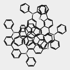 c1ccc(N(c2cccc(-c3cccc(N(c4ccccc4)c4cc5c(c6c4ccc4oc7ccccc7c46)-c4ccc6cc(N(c7ccccc7)c7ccccc7)ccc6c4C54c5ccccc5-c5ccccc54)c3)c2)c2ccc3c4c(ccc3c2)-c2c(cc(N(c3ccccc3)c3ccccc3)c3ccc5c6ccccc6oc5c23)C42c3ccccc3-c3ccccc32)cc1